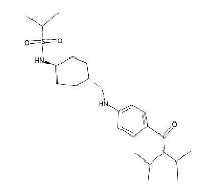 CC(C)N(C(=O)c1ccc(NC[C@H]2CC[C@H](NS(=O)(=O)C(C)C)CC2)cc1)C(C)C